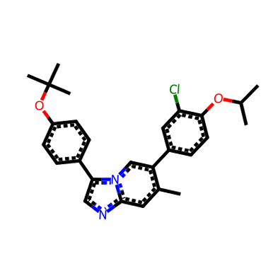 Cc1cc2ncc(-c3ccc(OC(C)(C)C)cc3)n2cc1-c1ccc(OC(C)C)c(Cl)c1